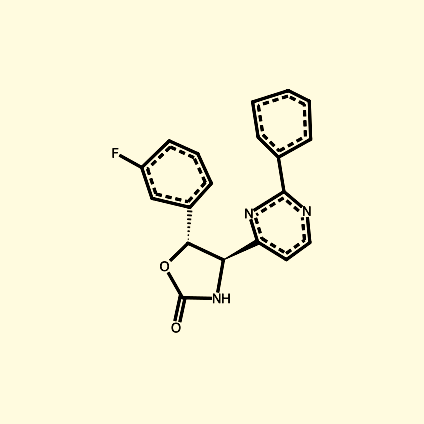 O=C1N[C@H](c2ccnc(-c3ccccc3)n2)[C@@H](c2cccc(F)c2)O1